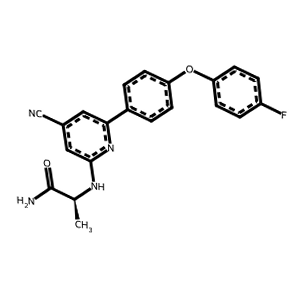 C[C@H](Nc1cc(C#N)cc(-c2ccc(Oc3ccc(F)cc3)cc2)n1)C(N)=O